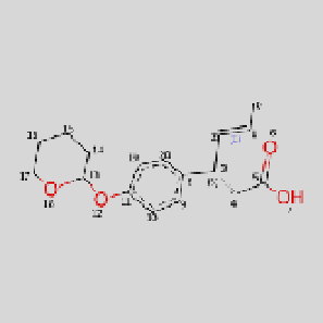 C/C=C/[C@H](CC(=O)O)c1ccc(OC2CCCCO2)cc1